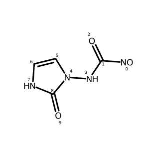 O=NC(=O)Nn1cc[nH]c1=O